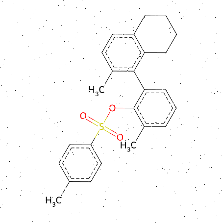 Cc1ccc(S(=O)(=O)Oc2c(C)cccc2-c2c(C)ccc3c2CCCC3)cc1